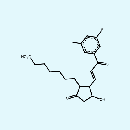 O=C(O)CCCCCCC1C(=O)CC(O)C1C=CC(=O)c1cc(F)cc(F)c1